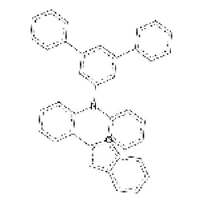 c1ccc(-c2cc(-c3ccccc3)cc(N(c3ccccc3)c3ccccc3-c3cc4ccccc4o3)c2)cc1